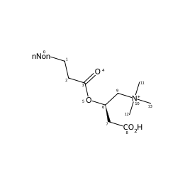 CCCCCCCCCCCC(=O)O[C@H](CC(=O)O)C[N+](C)(C)C